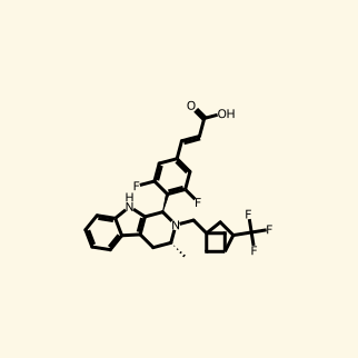 C[C@@H]1Cc2c([nH]c3ccccc23)[C@@H](c2c(F)cc(/C=C/C(=O)O)cc2F)N1CC12CC(C1)C(C(F)(F)F)C2